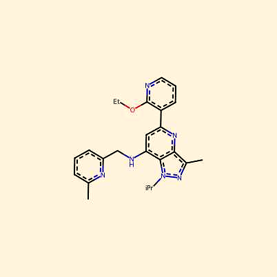 CCOc1ncccc1-c1cc(NCc2cccc(C)n2)c2c(n1)c(C)nn2C(C)C